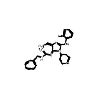 C=C(/N=C1\C(=C/N)N=C(Nc2ccccc2F)N1C1CCNCC1)NCc1ccccc1